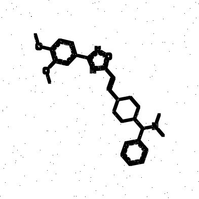 COc1ccc(-c2noc(C=CC3CCC(C(c4ccccc4)N(C)C)CC3)n2)cc1OC